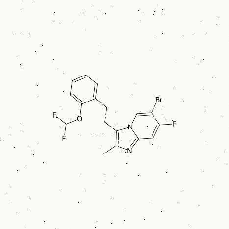 Cc1nc2cc(F)c(Br)cn2c1CCc1ccccc1OC(F)F